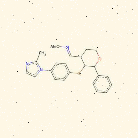 CON=CC1CCOC(c2ccccc2)C1Sc1ccc(-n2ccnc2C)cc1